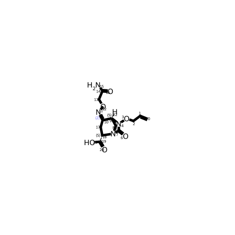 C=CCON1C(=O)N2C[C@H]1/C(=N\OCC(N)=O)C[C@H]2C(=O)O